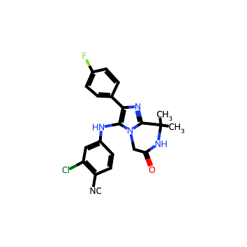 [C-]#[N+]c1ccc(Nc2c(-c3ccc(F)cc3)nc3n2CC(=O)NC3(C)C)cc1Cl